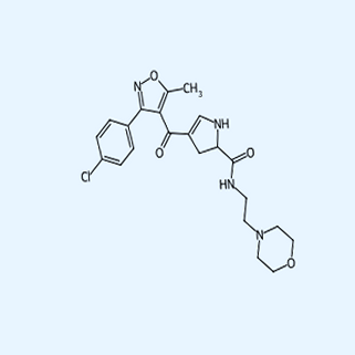 Cc1onc(-c2ccc(Cl)cc2)c1C(=O)C1=CNC(C(=O)NCCN2CCOCC2)C1